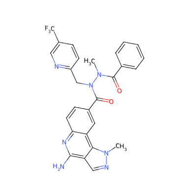 CN(C(=O)c1ccccc1)N(Cc1ccc(C(F)(F)F)cn1)C(=O)c1ccc2nc(N)c3cnn(C)c3c2c1